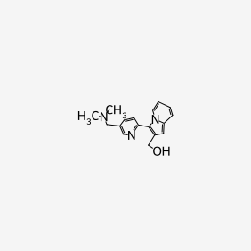 CN(C)Cc1ccc(-c2c(CO)cc3ccccn23)nc1